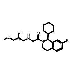 COC[C@@H](O)CNCC(=O)N1CCc2ccc(Br)cc2C1C1CCCCC1